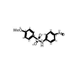 COc1ccc(S(=O)(=O)Nc2ccc([As]=O)cc2)cc1